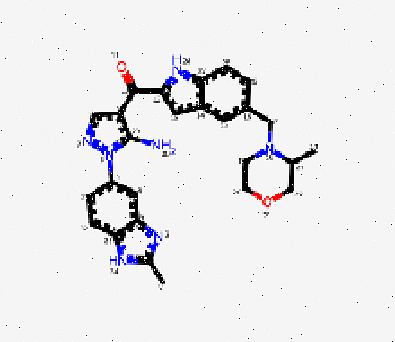 Cc1nc2cc(-n3ncc(C(=O)c4cc5cc(CN6CCOCC6C)ccc5[nH]4)c3N)ccc2[nH]1